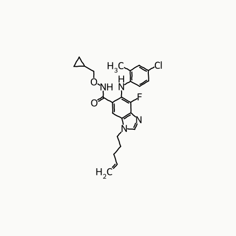 C=CCCCn1cnc2c(F)c(Nc3ccc(Cl)cc3C)c(C(=O)NOCC3CC3)cc21